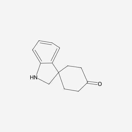 O=C1CCC2(CC1)CNc1ccccc12